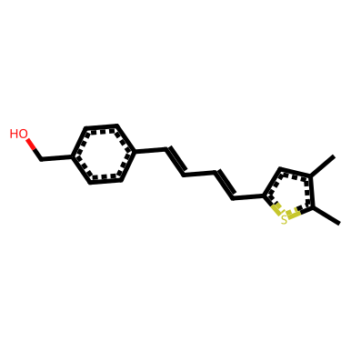 Cc1cc(/C=C/C=C/c2ccc(CO)cc2)sc1C